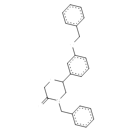 O=C1COC(c2cccc(OCc3ccccc3)c2)CN1Cc1ccccc1